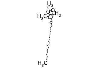 CCCCCCCCCCCCCCCCCCSCc1cc(C)c(OC(C)=O)c(C)c1